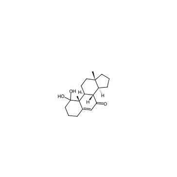 C[C@@]12CCC[C@H]1[C@@H]1C(=O)C=C3CCCC(O)(O)[C@]3(C)[C@H]1CC2